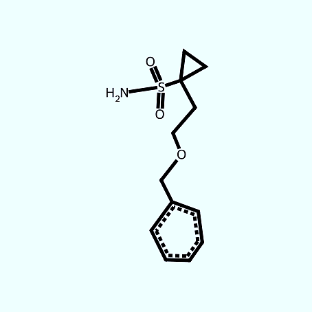 NS(=O)(=O)C1(CCOCc2ccccc2)CC1